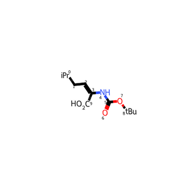 CC(C)C/C=C(/NC(=O)OC(C)(C)C)C(=O)O